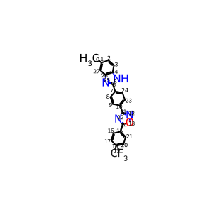 Cc1ccc2[nH]c(-c3ccc(-c4noc(-c5ccc(C(F)(F)F)cc5)n4)cc3)nc2c1